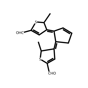 CC1SC(C=O)=CC1=C1C=CCC1=C1C=C(C=O)SC1C